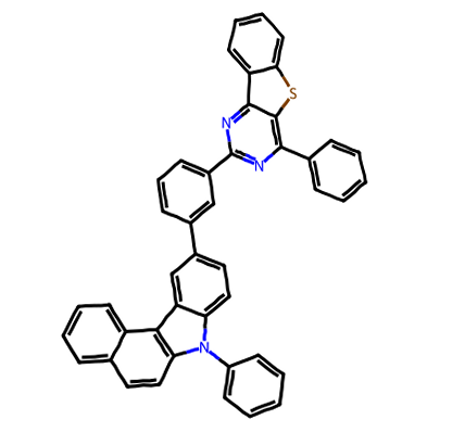 c1ccc(-c2nc(-c3cccc(-c4ccc5c(c4)c4c6ccccc6ccc4n5-c4ccccc4)c3)nc3c2sc2ccccc23)cc1